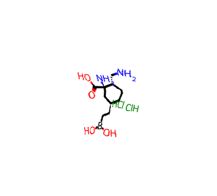 Cl.Cl.NC[C@@H]1CC[C@@H](CCB(O)O)C[C@]1(N)C(=O)O